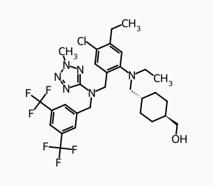 CCc1cc(N(CC)C[C@H]2CC[C@H](CO)CC2)c(CN(Cc2cc(C(F)(F)F)cc(C(F)(F)F)c2)c2nnn(C)n2)cc1Cl